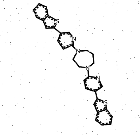 c1ccc2sc(-c3ccc(N4CCCN(c5ccc(-c6cc7ccccc7s6)cn5)CC4)nc3)cc2c1